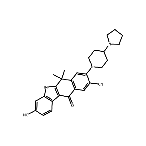 CC1(C)c2cc(N3CCC(N4CCCC4)CC3)c(C#N)cc2C(=O)c2c1[nH]c1cc(C#N)ccc21